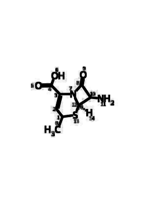 CC1C=C(C(=O)O)N2C(=O)C(N)[C@H]2S1